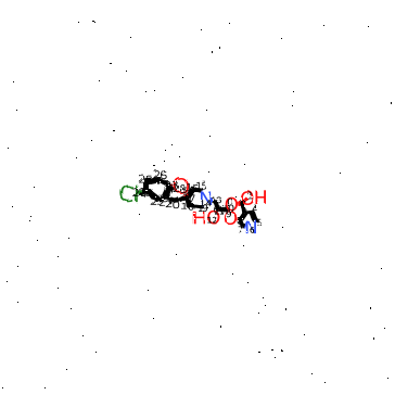 O=C(O)c1ccncc1OC[C@H](O)CN1CCC2(CC1)Cc1cc(Cl)ccc1O2